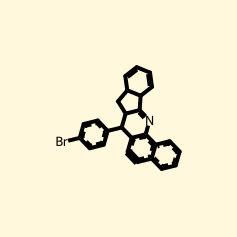 Brc1ccc(C2c3c#cc4ccccc4c3N=C3C4C=CC=CC4CC32)cc1